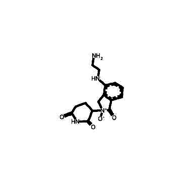 NCCNc1cccc2c1C[N+]([O-])(C1CCC(=O)NC1=O)C2=O